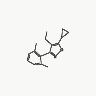 CCc1c(-c2c(C)cccc2C)noc1C1CC1